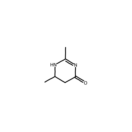 CC1=NC(=O)CC(C)N1